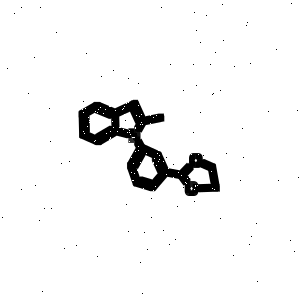 Cc1cc2ccccc2n1-c1cccc(C2OCCO2)c1